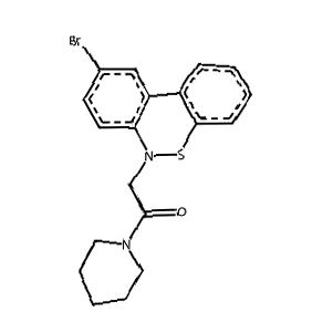 O=C(CN1Sc2ccccc2-c2cc(Br)ccc21)N1CCCCC1